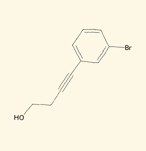 OCCC#Cc1cccc(Br)c1